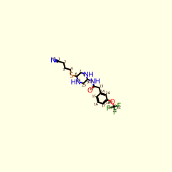 N#CCCCSC1CNC(NC(=O)Cc2cccc(OC(F)(F)F)c2)CN1